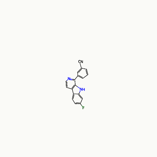 N#Cc1cccc(-c2nccc3c2[nH]c2cc(F)ccc23)c1